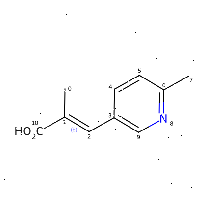 C/C(=C\c1ccc(C)nc1)C(=O)O